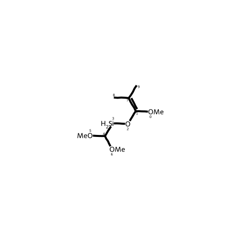 COC(O[SiH2]C(OC)OC)=C(C)C